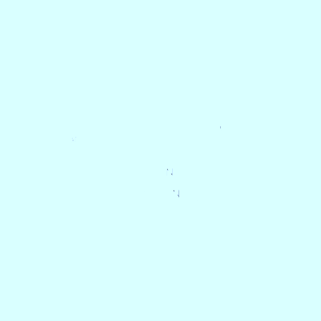 FC(F)(F)c1cccc(Cn2ccc(-c3cccc(Br)c3)n2)c1